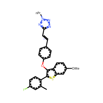 CCCn1nnc(/C=C/c2ccc(Oc3c(-c4ccc(F)cc4C)sc4cc(OC)ccc34)cc2)n1